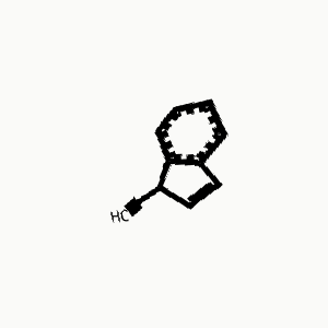 C#CC1C=Cc2ccccc21